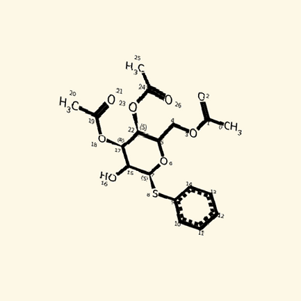 CC(=O)OCC1O[C@@H](Sc2ccccc2)C(O)[C@@H](OC(C)=O)[C@H]1OC(C)=O